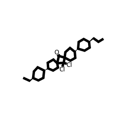 CCC[C@H]1CC[C@H](C2CCC3(CC2)C(=O)C2(CCC([C@H]4CC[C@H](CC)CC4)CC2)C3(Cl)Cl)CC1